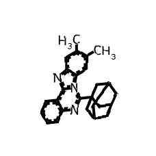 Cc1cc2nc3c4ccccc4nc(C45CC6CC(CC(C6)C4)C5)n3c2cc1C